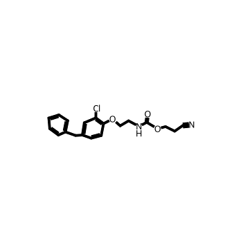 N#CCCOC(=O)NCCOc1ccc(Cc2ccccc2)cc1Cl